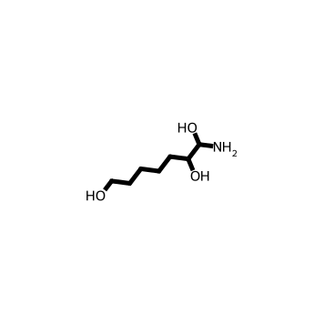 NC(O)C(O)CCCCCO